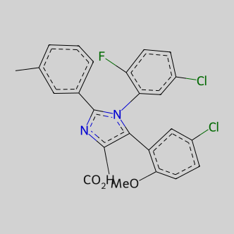 COc1ccc(Cl)cc1-c1c(C(=O)O)nc(-c2cccc(C)c2)n1-c1cc(Cl)ccc1F